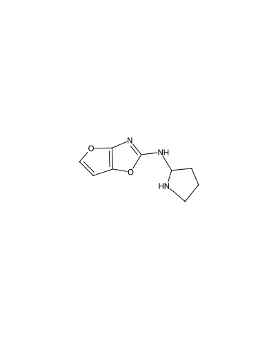 c1cc2oc(NC3CCCN3)nc2o1